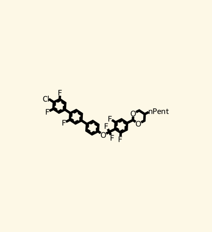 CCCCCC1COC(c2cc(F)c(C(F)(F)Oc3ccc(-c4ccc(-c5cc(F)c(Cl)c(F)c5)c(F)c4)cc3)c(F)c2)OC1